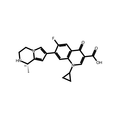 C[C@@H]1NCCn2cc(-c3cc4c(cc3F)c(=O)c(C(=O)O)cn4C3CC3)cc21